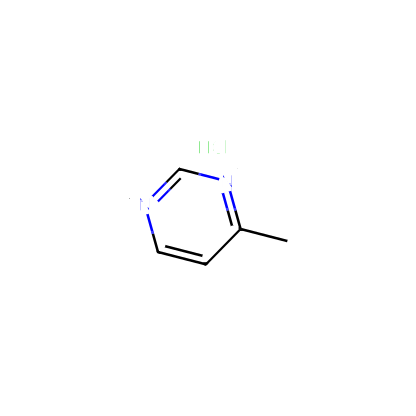 Cc1ccncn1.Cl